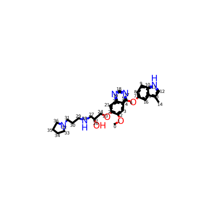 COc1cc2c(Oc3ccc4[nH]cc(C)c4c3)ncnc2cc1OCC(O)CNCCCN1CCCC1